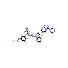 C[C@H]1CCCCN1c1nnc2ccc(O[C@@H]3CC[C@H](NC(=O)Nc4cc(C(C)(C)C)nn4-c4cccc(CCO)c4)c4ccccc43)cn12